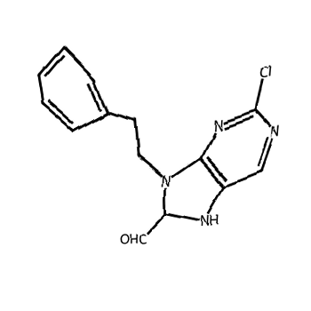 O=CC1Nc2cnc(Cl)nc2N1CCc1ccccc1